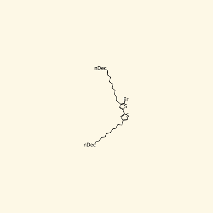 CCCCCCCCCCCCCCCCCCCCc1csc(-c2cc(CCCCCCCCCCCCCCCCCCCC)c(Br)s2)c1